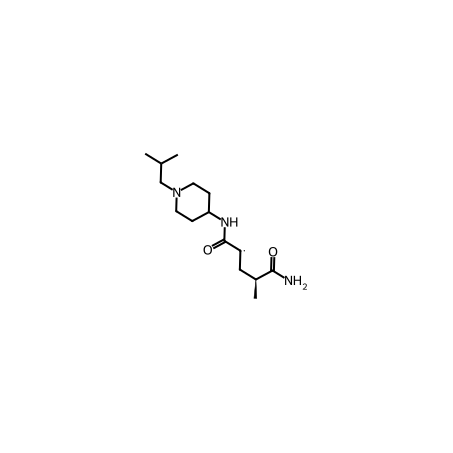 CC(C)CN1CCC(NC(=O)[CH]C[C@H](C)C(N)=O)CC1